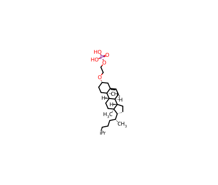 CC(C)CCC[C@@H](C)[C@H]1CC[C@H]2[C@@H]3CC=C4C[C@@H](OCCOP(=O)(O)O)CC[C@]4(C)[C@H]3CC[C@]12C